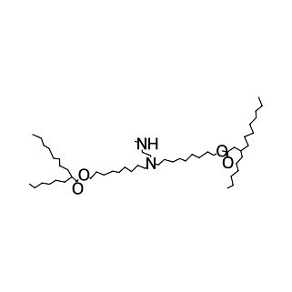 CCCCCCCCC(CCCCCC)CC(=O)OCCCCCCCCCN(CCCCCCCCCOC(=O)C(CCCCCC)CCCCCCCC)CCNC